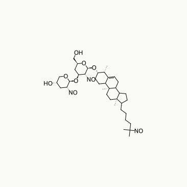 C[C@@H]1C2=CCC3C4CCC(CCCCC(C)(C)N=O)[C@@]4(C)CC[C@@]3(C)C2CC[C@@H]1O[C@@H]1O[C@H](CO)C[C@H](O[C@@H]2OC[C@@H](O)C[C@H]2N=O)[C@H]1N=O